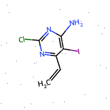 C=Cc1nc(Cl)nc(N)c1I